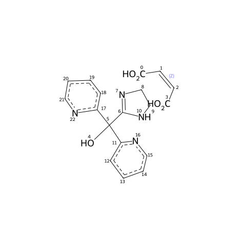 O=C(O)/C=C\C(=O)O.OC(C1=NCCN1)(c1ccccn1)c1ccccn1